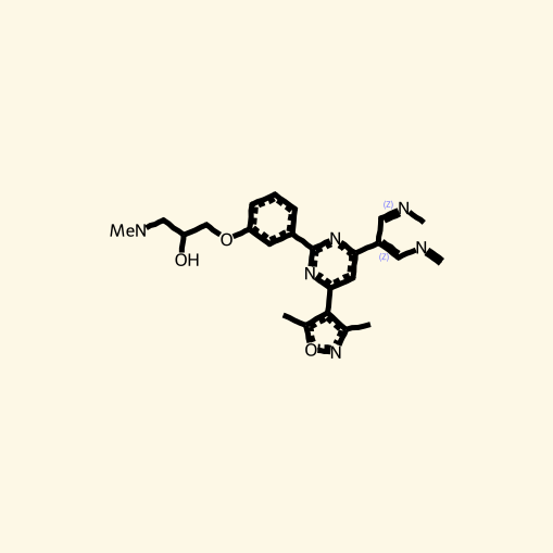 C=N/C=C(\C=N/C)c1cc(-c2c(C)noc2C)nc(-c2cccc(OCC(O)CNC)c2)n1